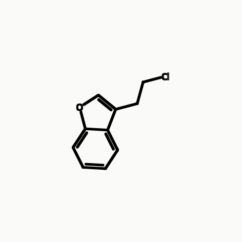 ClCCc1coc2ccccc12